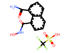 NC(=O)c1cccc2cccc(C(=O)NO)c12.O=S(=O)(O)C(F)(F)F